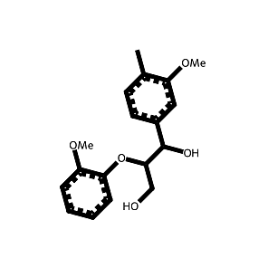 COc1cc(C(O)C(CO)Oc2ccccc2OC)ccc1C